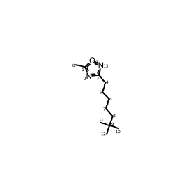 Cc1nc(CCCCCC(C)(C)C)no1